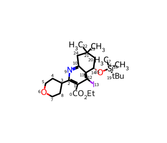 CCOC(=O)c1c(C2CCOCC2)nc2c(c1I)[C@@H](O[Si](C)(C)C(C)(C)C)CC(C)(C)C2